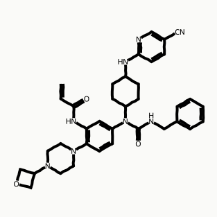 C=CC(=O)Nc1cc(N(C(=O)NCc2ccccc2)C2CCC(Nc3ccc(C#N)cn3)CC2)ccc1N1CCN(C2COC2)CC1